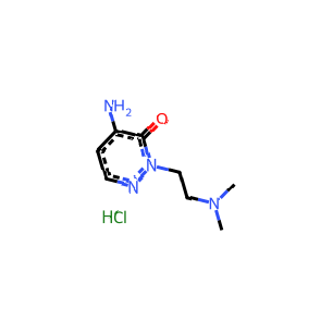 CN(C)CCn1nccc(N)c1=O.Cl